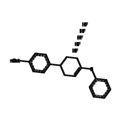 CCCCCCCCc1ccc(C2CC=C(Sc3ccccc3)CC2)cc1.F.F.F.F.F